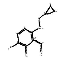 Fc1ccc(OCC2CC2)c(CBr)c1F